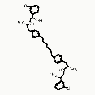 C[C@H](Cc1ccc(CCCCCCc2ccc(C[C@@H](C)NC[C@H](O)c3cccc(Cl)c3)cc2)cc1)NC[C@H](O)c1cccc(Cl)c1